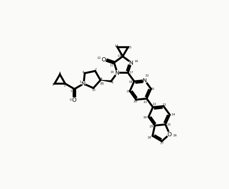 O=C(C1CC1)N1CC[C@@H](CN2C(=O)C3(CC3)N=C2c2ccc(-c3ccc4occc4c3)cn2)C1